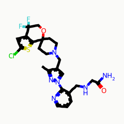 Cc1nn(-c2ncccc2CNCC(N)=O)cc1CN1CCC2(CC1)OCC(F)(F)c1cc(Cl)sc12